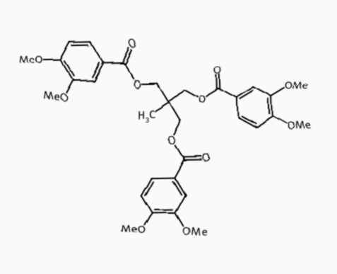 COc1ccc(C(=O)OCC(C)(COC(=O)c2ccc(OC)c(OC)c2)COC(=O)c2ccc(OC)c(OC)c2)cc1OC